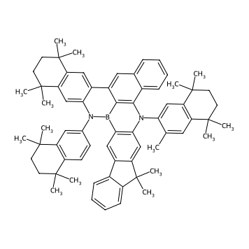 Cc1cc2c(cc1N1c3cc4c(cc3B3c5c(cc6ccccc6c51)-c1cc5c(cc1N3c1ccc3c(c1)C(C)(C)CCC3(C)C)C(C)(C)CCC5(C)C)-c1ccccc1C4(C)C)C(C)(C)CCC2(C)C